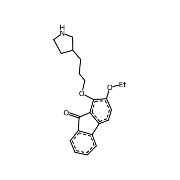 CCOc1ccc2c(c1OCCCC1CCNC1)C(=O)c1ccccc1-2